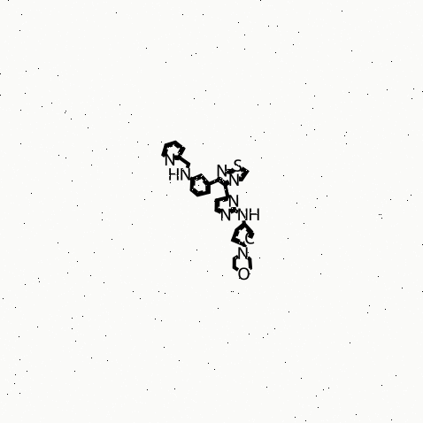 c1ccc(CNc2cccc(-c3nc4sccn4c3-c3ccnc(Nc4ccc(N5CCOCC5)cc4)n3)c2)nc1